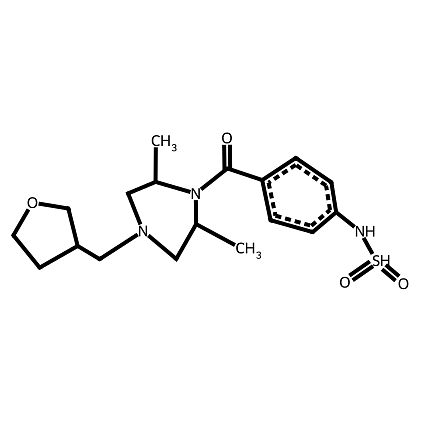 CC1CN(CC2CCOC2)CC(C)N1C(=O)c1ccc(N[SH](=O)=O)cc1